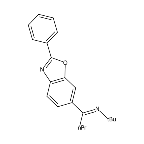 CCCC(=NC(C)(C)C)c1ccc2nc(-c3ccccc3)oc2c1